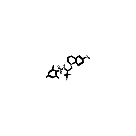 COc1ccc2c(c1)CCCN2CC(NS(=O)(=O)c1c(C)cc(C)cc1C)C(F)(F)F